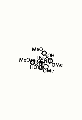 COc1ccc(C(O)(c2ccc(OC)cc2)[C@H](NC(=O)C2(C(=O)N[C@H](C(C)(C)C)C(O)(c3ccc(OC)cc3)c3ccc(OC)cc3)CCCCC2)C(C)(C)C)cc1